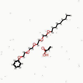 C=CC(=O)O.CCCCCCCCCOCCOCCOCCOCCOc1ccccc1